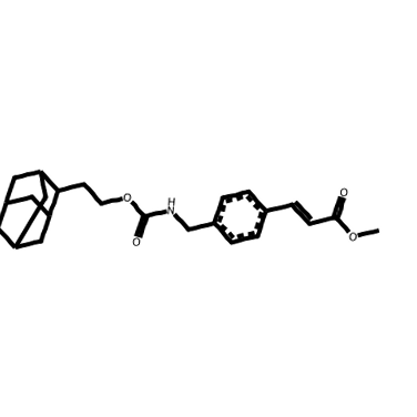 COC(=O)/C=C/c1ccc(CNC(=O)OCCC2C3CC4CC(C3)CC2C4)cc1